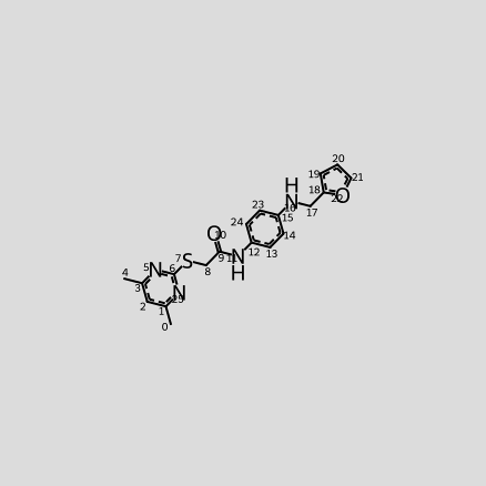 Cc1cc(C)nc(SCC(=O)Nc2ccc(NCc3ccco3)cc2)n1